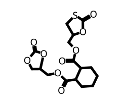 O=C1OCC(COC(=O)C2CCCCC2C(=O)OCC2CSC(=O)O2)O1